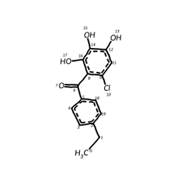 CCc1ccc(C(=O)c2c(Cl)cc(O)c(O)c2O)cc1